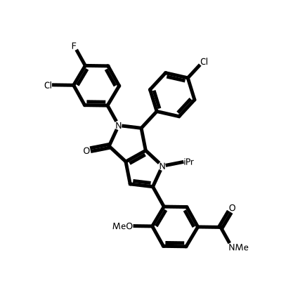 CNC(=O)c1ccc(OC)c(-c2cc3c(n2C(C)C)C(c2ccc(Cl)cc2)N(c2ccc(F)c(Cl)c2)C3=O)c1